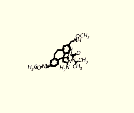 CONCc1ccc2c(c1)CCc1cc(CNOC)ccc1C2(CCN)c1nn(C(C)C)c(=O)[nH]1